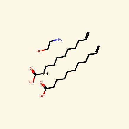 C=CCCCCCCCCC(=O)O.C=CCCCCCC[CH2][InH][C](=O)O.NCCO